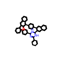 C1=CC(C2=NC(c3ccccc3)NC(c3cc4ccccc4cc3-c3ccc(-c4c5ccccc5cc5c4oc4ccccc45)cc3)N2)=CCC1